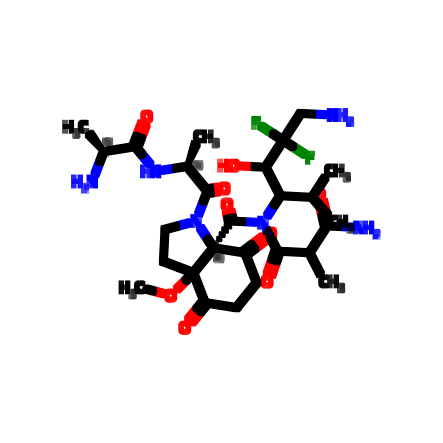 COC12CCN(C(=O)[C@H](C)NC(=O)[C@H](C)N)[C@@]1(C(=O)N(C(=O)C(C)C(N)=O)C(C(C)C)C(O)C(F)(F)CN)C(=O)CCC2=O